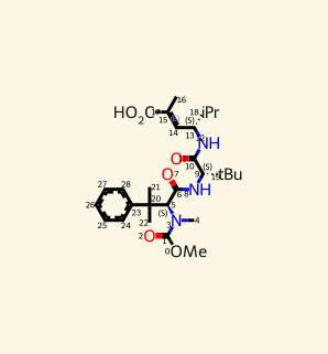 COC(=O)N(C)[C@H](C(=O)N[C@H](C(=O)N[C@H](/C=C(\C)C(=O)O)C(C)C)C(C)(C)C)C(C)(C)c1ccccc1